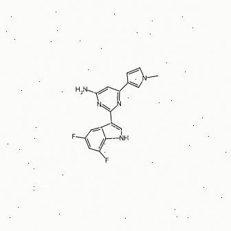 Cn1ccc(-c2cc(N)nc(-c3c[nH]c4c(F)cc(F)cc34)n2)c1